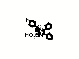 O=C(CC1(C(=O)O)NC(c2ccccc2)C(c2ccccc2)N1)c1ccc(F)cc1